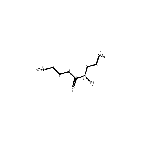 CCCCCCCCCCCC(=O)N(CC)CCS(=O)(=O)O